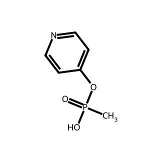 CP(=O)(O)Oc1ccncc1